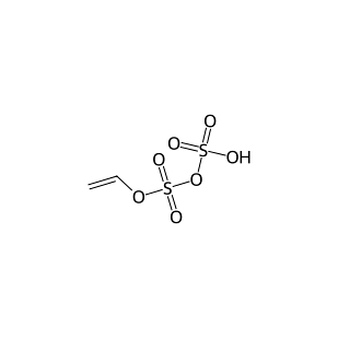 C=COS(=O)(=O)OS(=O)(=O)O